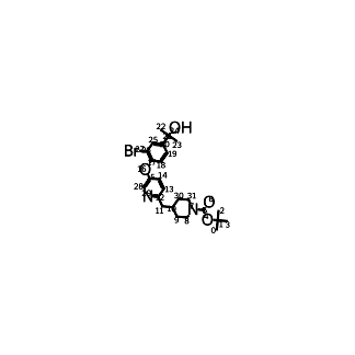 CC(C)(C)OC(=O)N1CCC(Cc2ccc(Oc3ccc(C(C)(C)O)cc3Br)cn2)CC1